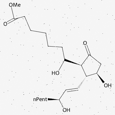 CCCCC[C@H](O)C=C[C@H]1[C@H](O)CC(=O)[C@@H]1C(O)CCCCCC(=O)OC